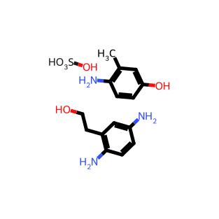 Cc1cc(O)ccc1N.Nc1ccc(N)c(CCO)c1.O=S(=O)(O)O